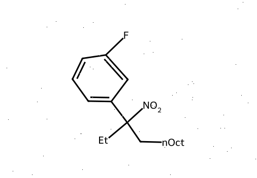 CCCCCCCCCC(CC)(c1cccc(F)c1)[N+](=O)[O-]